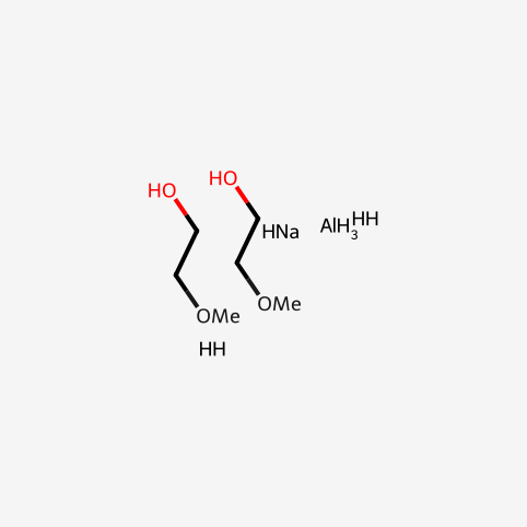 COCCO.COCCO.[AlH3].[HH].[HH].[NaH]